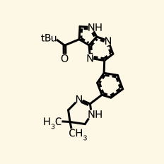 CC1(C)CN=C(c2cccc(-c3cnc4[nH]cc(C(=O)C(C)(C)C)c4n3)c2)NC1